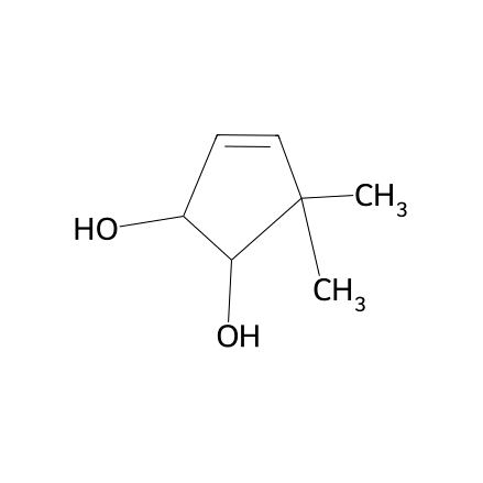 CC1(C)C=CC(O)C1O